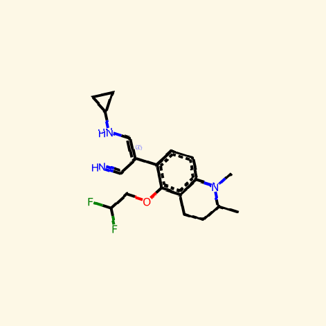 CC1CCc2c(ccc(/C(C=N)=C/NC3CC3)c2OCC(F)F)N1C